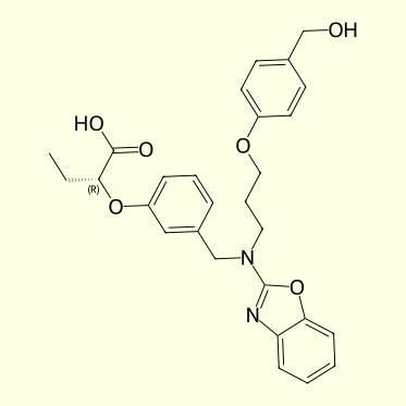 CC[C@@H](Oc1cccc(CN(CCCOc2ccc(CO)cc2)c2nc3ccccc3o2)c1)C(=O)O